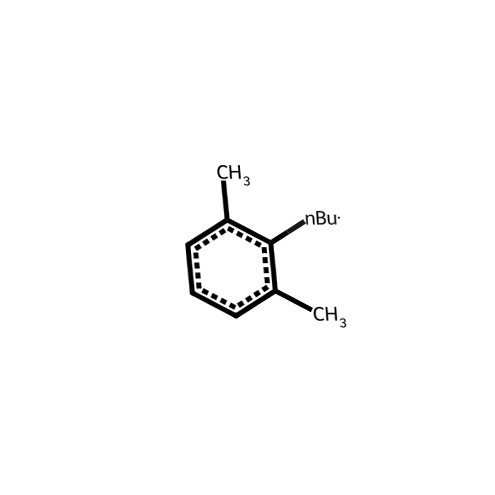 CCC[CH]c1c(C)cccc1C